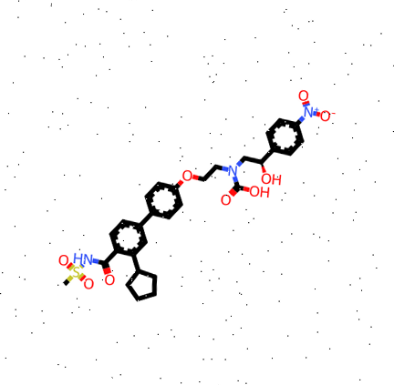 CS(=O)(=O)NC(=O)c1ccc(-c2ccc(OCCN(C[C@H](O)c3ccc([N+](=O)[O-])cc3)C(=O)O)cc2)cc1C1CCCC1